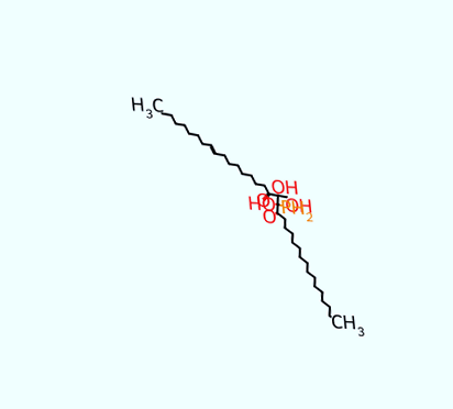 CCCCCCCCC=CCCCCCCCC(=O)C(O)(CO)C(O)(P)C(=O)CCCCCCCCCCCCCCC